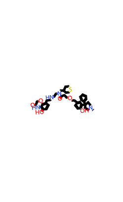 CN1CCC(c2ccccc2)(c2cc(CCOCCC(=O)N(CCNCCc3ccc(O)c4c3OCC(=O)N4)CC3CCSCC3)ccc2O)CC1